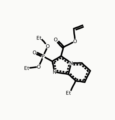 C=COC(=O)c1c(P(=O)(OCC)OCC)nc2c(CC)cccn12